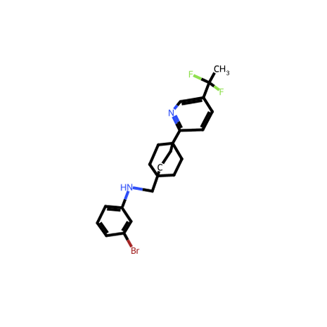 CC(F)(F)c1ccc(C23CCC(CNc4cccc(Br)c4)(CC2)CC3)nc1